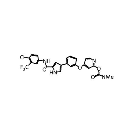 CNC(=O)Oc1cc(Oc2cccc(-c3c[nH]c(C(=O)Nc4ccc(Cl)c(C(F)(F)F)c4)c3)c2)ccn1